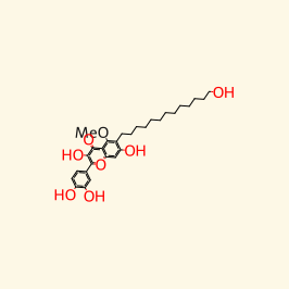 COc1c(CCCCCCCCCCCCCO)c(O)cc2oc(-c3ccc(O)c(O)c3)c(O)c(=O)c12